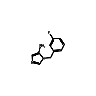 Nc1cncn1Cc1cccc(F)c1